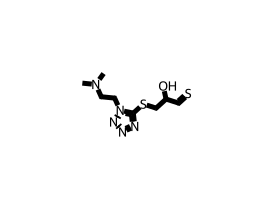 CN(C)CCn1nnnc1SCC(O)C=S